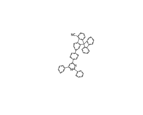 N#Cc1cccc2c1-c1ccc(-c3ccc(-c4cc(-c5ccccc5)nc(-c5ccccc5)n4)cc3)cc1C21c2ccccc2-c2ccccc21